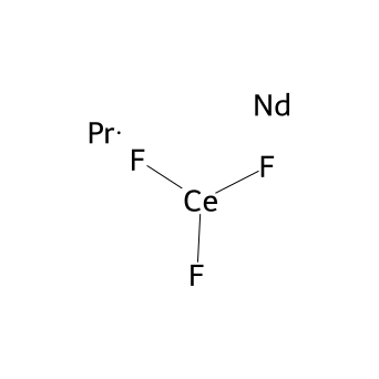 [F][Ce]([F])[F].[Nd].[Pr]